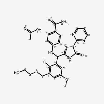 CC(=O)O.COc1cc(COCCO)c(F)c(C(Nc2ccc(C(=N)N)cc2)c2nn(-c3ncccn3)c(=O)[nH]2)c1